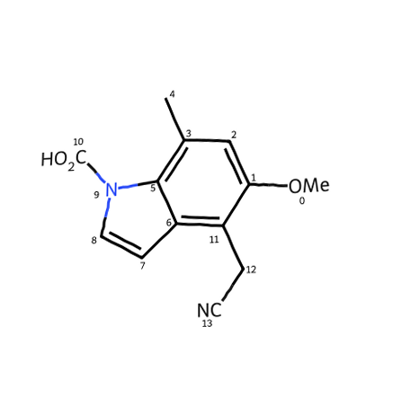 COc1cc(C)c2c(ccn2C(=O)O)c1CC#N